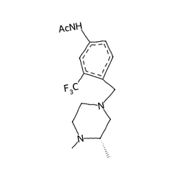 CC(=O)Nc1ccc(CN2CCN(C)[C@@H](C)C2)c(C(F)(F)F)c1